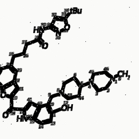 CN1CCN(C2CCN(Cc3c(O)ccc4[nH]c(C(=O)c5cc6cc(CCCC(=O)Nc7cc(C(C)(C)C)on7)ccc6o5)cc34)CC2)CC1